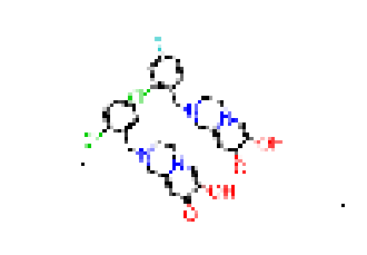 O=c1cc2n(cc1O)CCN(Cc1ccc(F)cc1Cl)C2.O=c1cc2n(cc1O)CCN(Cc1ccccc1Cl)C2